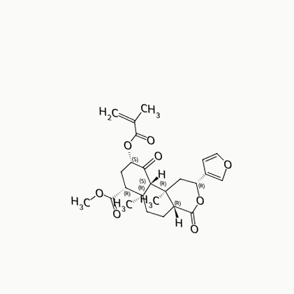 C=C(C)C(=O)O[C@H]1C[C@@H](C(=O)OC)[C@]2(C)CC[C@H]3C(=O)O[C@@H](c4ccoc4)C[C@]3(C)[C@H]2C1=O